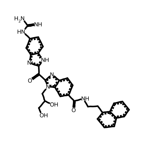 N=C(N)Nc1ccc2[nH]c(C(=O)c3nc4ccc(C(=O)NCCc5cccc6ccccc56)cc4n3CC(O)CO)nc2c1